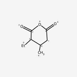 CCC1C(=O)OC(=O)CC1C